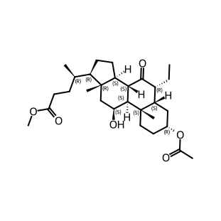 CC[C@H]1C(=O)[C@@H]2[C@H]([C@@H](O)C[C@]3(C)[C@@H]([C@H](C)CCC(=O)OC)CC[C@@H]23)[C@@]2(C)CC[C@@H](OC(C)=O)C[C@@H]12